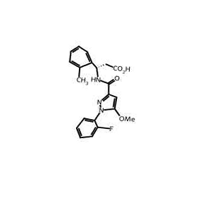 COc1cc(C(=O)N[C@@H](CC(=O)O)c2ccccc2C)nn1-c1ccccc1F